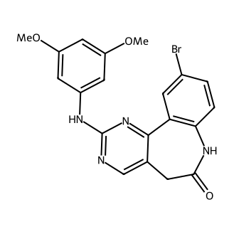 COc1cc(Nc2ncc3c(n2)-c2cc(Br)ccc2NC(=O)C3)cc(OC)c1